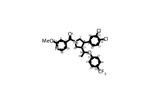 COc1cc(C(=O)N2CC(c3ccc(Cl)c(Cl)c3)C(C(C)Oc3ccc(C(F)(F)F)cc3)C2)ccn1